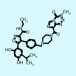 CCNC(=O)c1noc(-c2cc(C(C)C)c(O)cc2O)c1-c1ccc(CN2CCN(C(=O)c3ncn4c(=O)n(C)nnc34)CC2)cc1